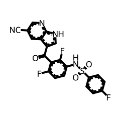 N#Cc1cnc2[nH]cc(C(=O)c3c(F)ccc(NS(=O)(=O)c4ccc(F)cc4)c3F)c2c1